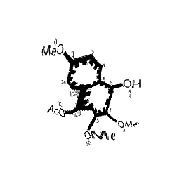 COc1ccc2c(O)c(OC)c(OC)c(OC(C)=O)c2c1